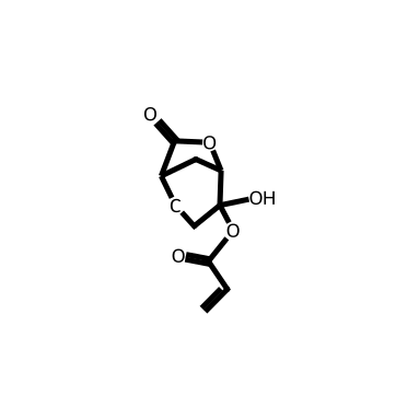 C=CC(=O)OC1(O)CCC2CC1OC2=O